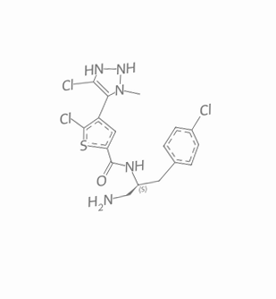 CN1NNC(Cl)=C1c1cc(C(=O)N[C@H](CN)Cc2ccc(Cl)cc2)sc1Cl